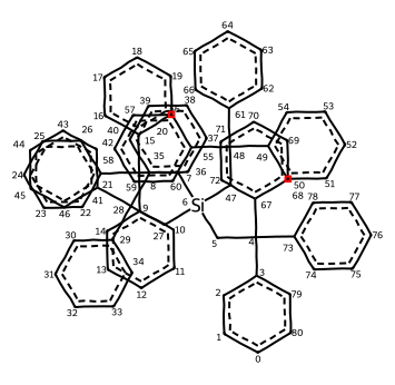 c1ccc(C(C[Si](CC(c2ccccc2)(c2ccccc2)c2ccccc2)(CC(c2ccccc2)(c2ccccc2)c2ccccc2)CC(c2ccccc2)(c2ccccc2)c2ccccc2)(c2ccccc2)c2ccccc2)cc1